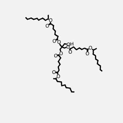 CCCCCCCCC(C)OC(=O)CCCCCC(=O)OCC(CO)(COC(=O)CCCCCC(=O)OC(C)CCCCCCCC)COC(=O)CCCCCC(=O)OC(C)CCCCCCCC